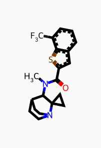 CN(C(=O)c1cc2cccc(C(F)(F)F)c2s1)C1C2CCN(CC2)C12CC2